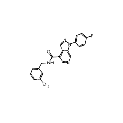 O=C(NCc1cccc(C(F)(F)F)c1)c1cncc2c1cnn2-c1ccc(F)cc1